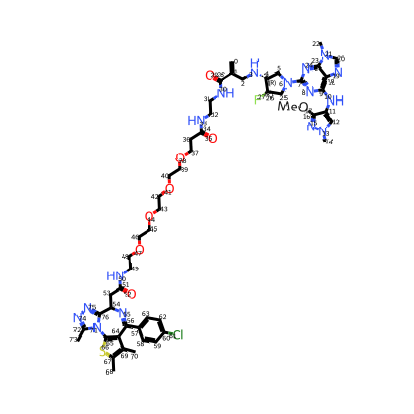 C=C(CN[C@@H]1CN(c2nc(Nc3cn(C)nc3OC)c3ncn(C)c3n2)C[C@H]1F)C(=O)NCCNC(=O)CCOCCOCCOCCOCCNC(=O)CC1N=C(c2ccc(Cl)cc2)c2c(sc(C)c2C)-n2c(C)nnc21